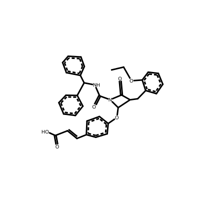 CCOc1ccccc1CC1C(=O)N(C(=O)NC(c2ccccc2)c2ccccc2)C1Oc1ccc(C=CC(=O)O)cc1